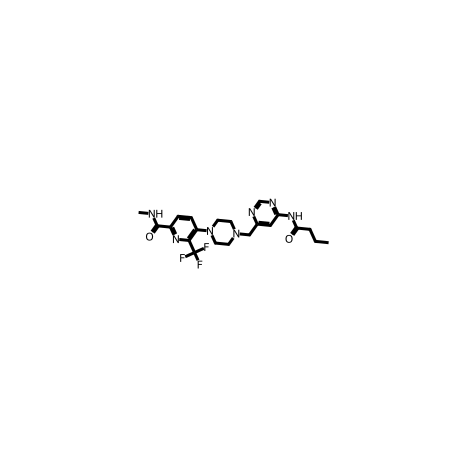 CCCC(=O)Nc1cc(CN2CCN(c3ccc(C(=O)NC)nc3C(F)(F)F)CC2)ncn1